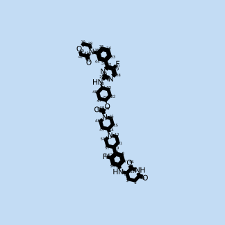 O=C1CCC(Nc2ccc(C3CCN(C4CCN(C(=O)O[C@H]5CC[C@H](Nc6ncc(F)c(-c7cccc(N8CCOCC8=O)c7)n6)CC5)CC4)CC3)c(F)c2)C(=O)N1